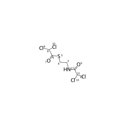 O=C(NCCSC(=O)C(Cl)Cl)C(Cl)Cl